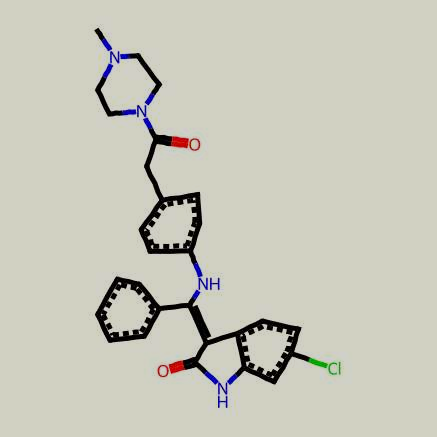 CN1CCN(C(=O)Cc2ccc(NC(=C3C(=O)Nc4cc(Cl)ccc43)c3ccccc3)cc2)CC1